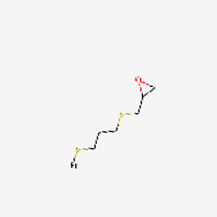 CCSCCCSCC1CO1